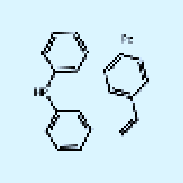 C=Cc1ccccc1.[Pd].c1ccc(Pc2ccccc2)cc1